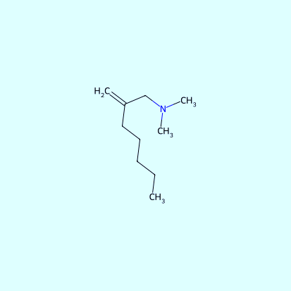 C=C(CCCCC)CN(C)C